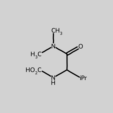 CC(C)C(NC(=O)O)C(=O)N(C)C